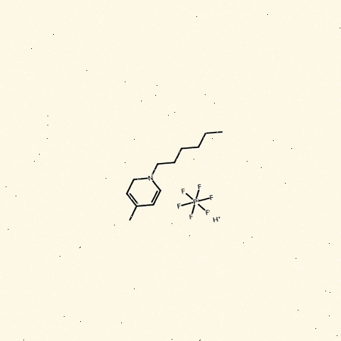 CCCCCCN1C=CC(C)=CC1.F[P-](F)(F)(F)(F)F.[H+]